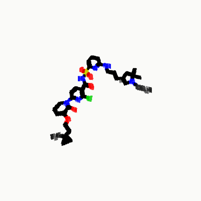 CC1(C)C[C@H](CCCNc2cccc(S(=O)(=O)NC(=O)c3ccc(-n4cccc(OCCC5(C(F)(F)F)CC5)c4=O)nc3Cl)n2)CN1C(=O)O